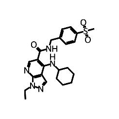 CCn1ncc2c(NC3CCCCC3)c(C(=O)NCc3ccc(S(C)(=O)=O)cc3)cnc21